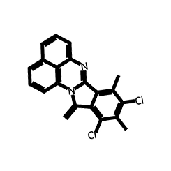 C=c1c2c(Cl)c(C)c(Cl)c(C)c2c2nc3cccc4cccc(c43)n12